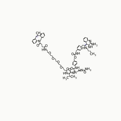 CCCCN/C(Cc1ccc(CNC(=O)OCc2ccc(NC(=O)[C@H](CCCNC(N)=O)NC(=O)[C@@H](NC(=O)CCOCCOCCOCCOCCNC(=O)CCC(=O)N3Cc4ccccc4/C(C)=C\c4ccccc43)C(C)C)cc2)cc1)=C1\C(=N)C(N)=Nc2ccccc21